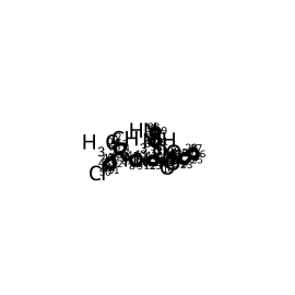 CC1(C)CCC(CN2CCN(c3ccc(C(=O)NS(=O)(=O)c4ccc5ccccc5c4)c(Oc4cnc5[nH]ccc5c4)c3)CC2)=C(c2ccc(Cl)cc2)C1